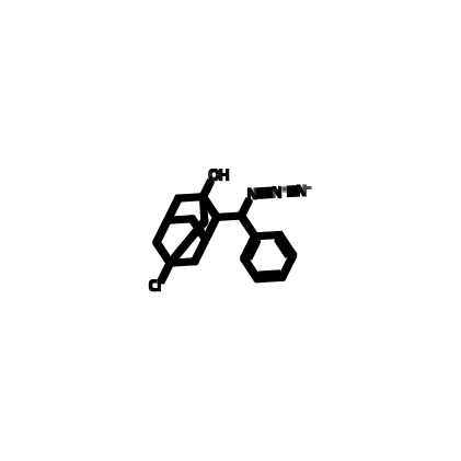 [N-]=[N+]=NC(c1ccccc1)C1C2CC3CC(Cl)(C2)CC1(O)C3